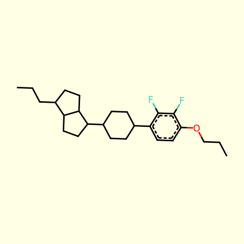 CCCOc1ccc(C2CCC(C3CCC4C(CCC)CCC34)CC2)c(F)c1F